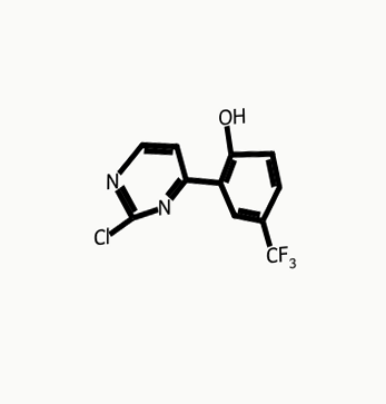 Oc1ccc(C(F)(F)F)cc1-c1ccnc(Cl)n1